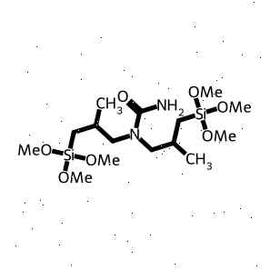 CO[Si](CC(C)CN(CC(C)C[Si](OC)(OC)OC)C(N)=O)(OC)OC